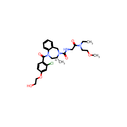 CCN(CCOC)C(=O)CNC(=O)N1Cc2ccccc2N(C(=O)c2ccc(OCCO)cc2Cl)C[C@H]1C